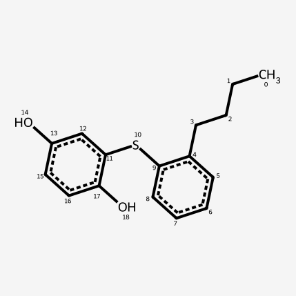 CCCCc1ccccc1Sc1cc(O)ccc1O